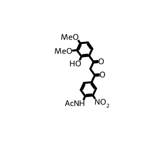 COc1ccc(C(=O)CC(=O)c2ccc(NC(C)=O)c([N+](=O)[O-])c2)c(O)c1OC